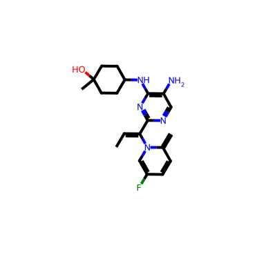 C=C1C=CC(F)=CN1/C(=C\C)c1ncc(N)c(NC2CCC(C)(O)CC2)n1